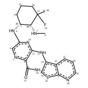 CN[C@@H]1[C@H](Nc2cnc(C(N)=O)c(Nc3csc4ncccc34)n2)CCCC1(F)F